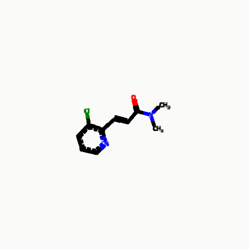 CN(C)C(=O)C=Cc1ncccc1Cl